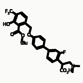 CN(C)CC(C(=O)O)c1ccc(-c2ccc(OCc3ccc(C(F)(F)F)c(O)c3C(=O)OC(C)(C)C)cc2)cc1F